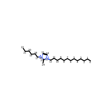 CCCCCCCCCCCCCN1C=CN(CCCCCC)C1C